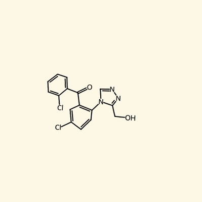 O=C(c1ccccc1Cl)c1cc(Cl)ccc1-n1cnnc1CO